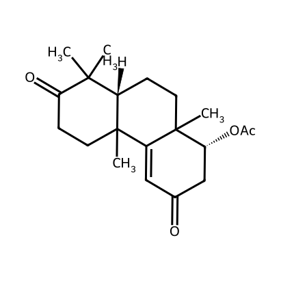 CC(=O)O[C@@H]1CC(=O)C=C2C1(C)CC[C@H]1C(C)(C)C(=O)CCC21C